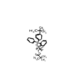 CC(C)(C)C(=O)OCC(F)(F)S(=O)(=O)OS(c1ccccc1)(c1ccccc1)c1ccc(C(C)(C)C)cc1